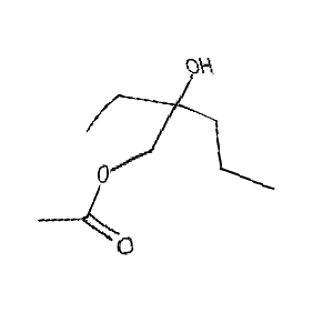 CCCC(O)(CC)COC(C)=O